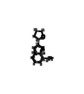 CC(C)c1cccn2cc(C3CCCO3)nc12